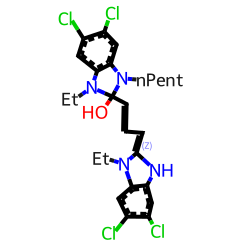 CCCCCN1c2cc(Cl)c(Cl)cc2N(CC)C1(O)C=C/C=C1/Nc2cc(Cl)c(Cl)cc2N1CC